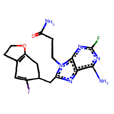 NC(=O)CCn1c(CC2CC3=C(C=C2I)CCO3)nc2c(N)nc(F)nc21